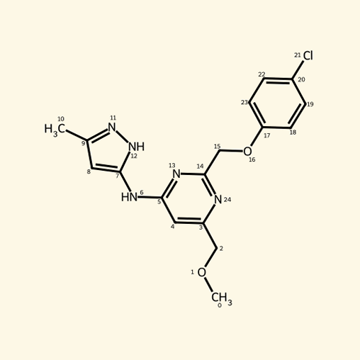 COCc1cc(Nc2cc(C)n[nH]2)nc(COc2ccc(Cl)cc2)n1